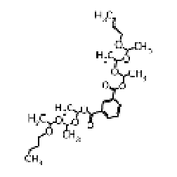 CCCCOC(C)OC(C)OC(C)OC(=O)c1cccc(C(=O)OC(C)OC(C)OC(C)OCCCC)c1